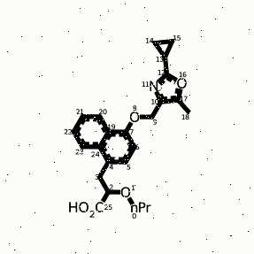 CCCOC(Cc1ccc(OCc2nc(C3CC3)oc2C)c2ccccc12)C(=O)O